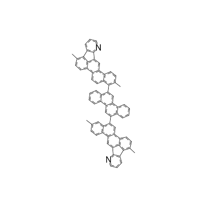 Cc1ccc2c(c1)c(-c1cc3c4ccccc4c(-c4c(C)ccc5c4ccc4c6ccc(C)c7c6c(cc54)-c4ncccc4-7)cc3c3ccccc13)cc1c3ccc(C)c4c3c(cc21)-c1ncccc1-4